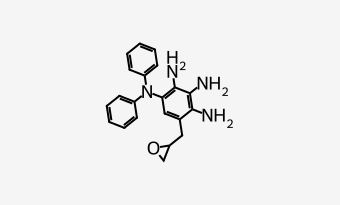 Nc1c(CC2CO2)cc(N(c2ccccc2)c2ccccc2)c(N)c1N